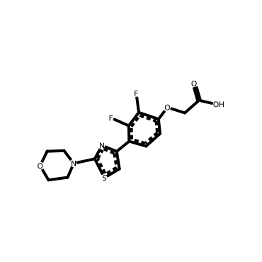 O=C(O)COc1ccc(-c2csc(N3CCOCC3)n2)c(F)c1F